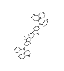 CC1(C)c2cc(N(C3=CC=CCC3)c3ccnc4ccccc34)ccc2-c2cc3c(cc21)-c1ccc(N(c2ccccc2)c2ccnc4ccccc24)cc1C3(C)C